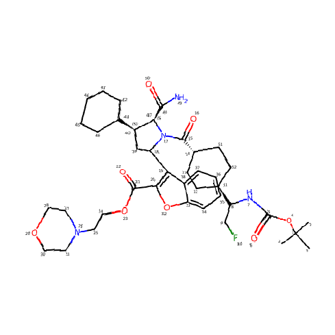 CC(C)(C)OC(=O)NC(CF)[C@H]1CC[C@H](C(=O)N2C(c3c(C(=O)OCCN4CCOCC4)oc4ccccc34)C[C@@H](C3CCCCC3)[C@H]2C(N)=O)CC1